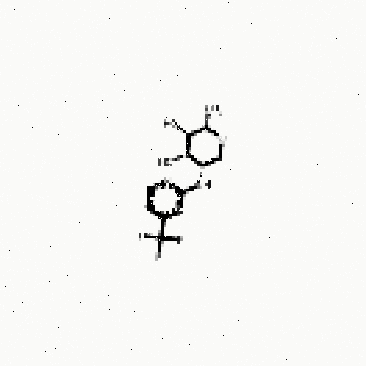 C[C@H]1OC[C@H](Nc2nccc(C(F)(F)F)n2)[C@@H](O)[C@H]1O